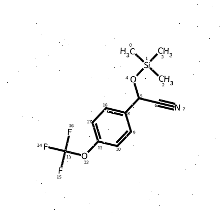 C[Si](C)(C)OC(C#N)c1ccc(OC(F)(F)F)cc1